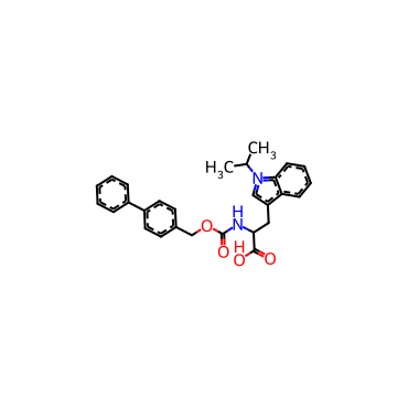 CC(C)n1cc(CC(NC(=O)OCc2ccc(-c3ccccc3)cc2)C(=O)O)c2ccccc21